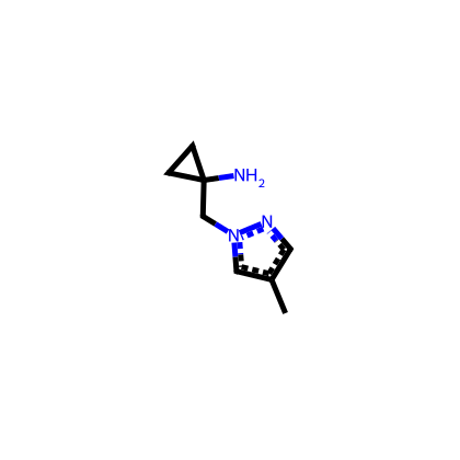 Cc1cnn(CC2(N)CC2)c1